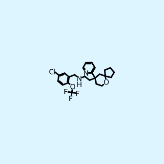 FC(F)(F)Oc1ccc(Cl)cc1CNCCC1(c2ccccn2)CCOC2(CCCC2)C1